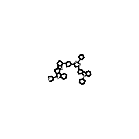 c1ccc(-c2nc(-c3ccc(-c4cccc5c4sc4c5ccc5c(-c6ccccc6)nc6ccccc6c54)cc3)cc(-c3ccc4c(c3)c3ccccc3n4-c3ccccc3)n2)cc1